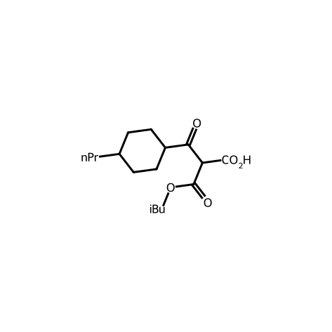 CCCC1CCC(C(=O)C(C(=O)O)C(=O)OC(C)CC)CC1